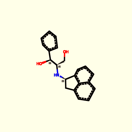 OC[C@H](N[C@H]1Cc2cccc3cccc1c23)[C@@H](O)c1ccccc1